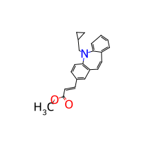 COC(=O)/C=C/c1ccc2c(c1)C=Cc1ccccc1N2CC1CC1